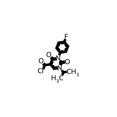 CC(C)n1cc(C(=O)Cl)c(=O)n(-c2ccc(F)cc2)c1=O